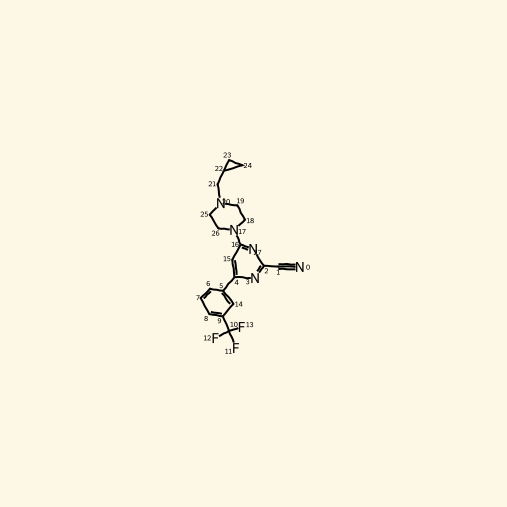 N#Cc1nc(-c2cccc(C(F)(F)F)c2)cc(N2CCN(CC3CC3)CC2)n1